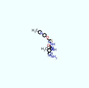 CC1CCN([C@H]2CC[C@H](OCc3csc(NC(=O)c4n[nH]c5c4C(C)(C)Cc4cnc(N)nc4-5)n3)CC2)CC1